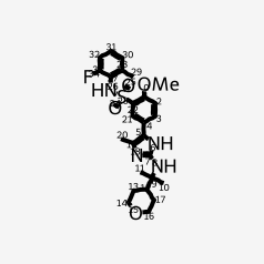 COc1ccc(-c2[nH]c(NC(C)(C)C3CCOCC3)nc2C)cc1S(=O)(=O)Nc1c(C)cccc1F